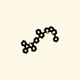 c1ccc(-c2ccc3ccc4ccc(-c5ccc(-c6ccc(-c7nc8c9ccccc9c9ccccc9c8c8ccccc78)cc6)c6ccccc56)nc4c3n2)cc1